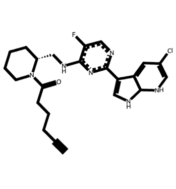 C#CCCCC(=O)N1CCCC[C@@H]1CNc1nc(C2=CNC3NC=C(Cl)C=C23)ncc1F